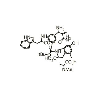 C=C(C(N)=O)C(N)c1ccccc1.CNC(C)C(=O)O.Cc1cc(O)cc(C)c1CC(NC(=O)OC(C)(C)C)C(=O)O.NC(Cc1c[nH]c2ccccc12)C(=O)O